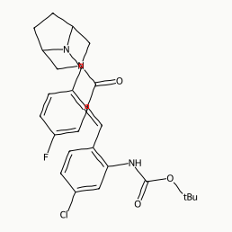 CC(C)(C)OC(=O)Nc1cc(Cl)ccc1/C=C/C(=O)N1CC2CCC(C1)N2Cc1ccc(F)cc1